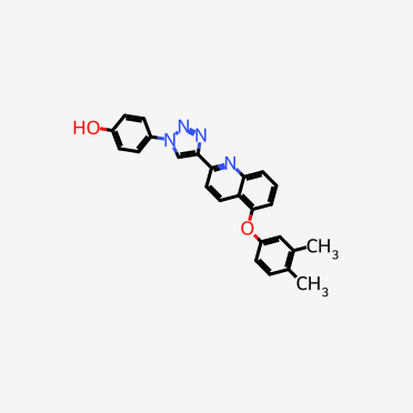 Cc1ccc(Oc2cccc3nc(-c4cn(-c5ccc(O)cc5)nn4)ccc23)cc1C